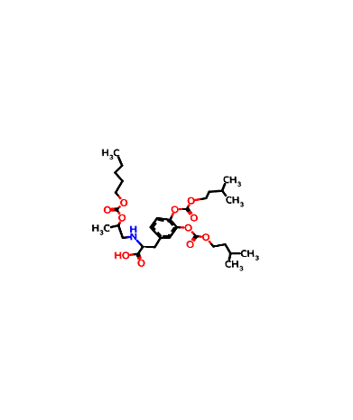 CCCCCOC(=O)OC(C)CN[C@@H](Cc1ccc(OC(=O)OCCC(C)C)c(OC(=O)OCCC(C)C)c1)C(=O)O